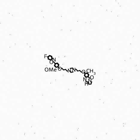 COc1cc(-c2nc3ccc(F)cc3o2)ccc1OCCCCN1CCN(CCCCOc2cc3c(cc2C)C(=O)N2CCC[C@H]2C=N3)CC1